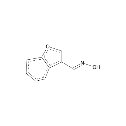 ON=Cc1coc2ccccc12